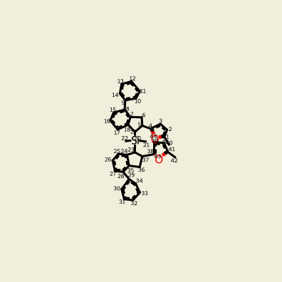 Cc1ccc(C2Cc3c(-c4ccccc4)cccc3C2[Si](C)(C)C2c3cccc(-c4ccccc4)c3CC2c2ccc(C)o2)o1